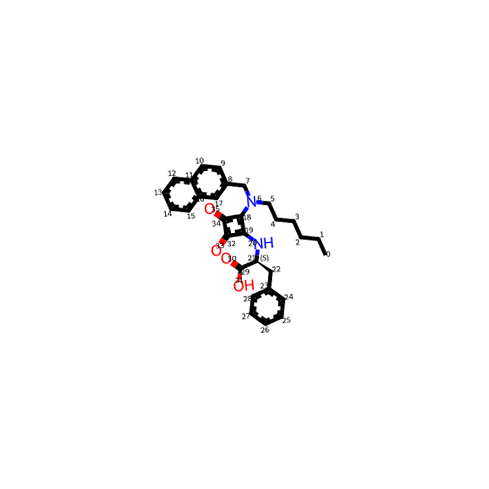 CCCCCCN(Cc1ccc2ccccc2c1)c1c(N[C@@H](Cc2ccccc2)C(=O)O)c(=O)c1=O